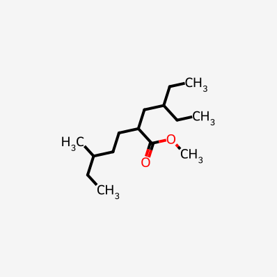 CCC(C)CCC(CC(CC)CC)C(=O)OC